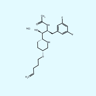 C=CCCCO[C@@H]1CC[C@H]([C@@H](O)[C@H](Cc2cc(F)cc(F)c2)NC(C)=O)NC1.Cl